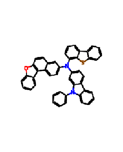 c1ccc(-n2c3ccccc3c3ccc(N(c4ccc5c(ccc6oc7ccccc7c65)c4)c4cccc5c4sc4ccccc45)cc32)cc1